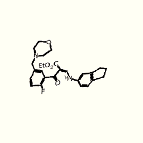 CCOC(=O)C(=CNc1ccc2c(c1)CCC2)C(=O)c1cc(CN2CCOCC2)ccc1F